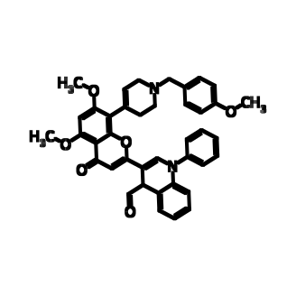 COc1ccc(CN2CC=C(c3c(OC)cc(OC)c4c(=O)cc(C5=CN(c6ccccc6)c6ccccc6C5C=O)oc34)CC2)cc1